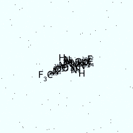 Cc1nsc(Nc2cncc(C(=O)NC3CCN(CCC(F)(F)F)CC3)n2)c1C(=O)Nc1ccc(F)c(F)c1